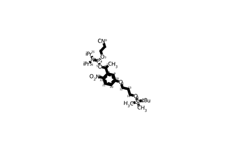 [C-]#[N+]CCOP(OC(C)c1cc(OCCCO[Si](C)(C)C(C)(C)C)ccc1[N+](=O)[O-])N(C(C)C)C(C)C